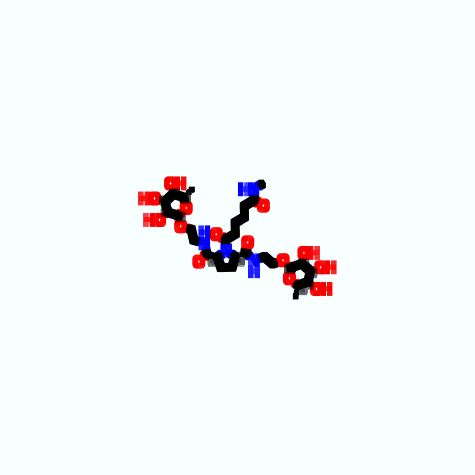 CNC(=O)CCCCC(=O)N1[C@H](C(=O)NCCO[C@@H]2O[C@@H](C)[C@@H](O)[C@@H](O)[C@@H]2O)CC[C@H]1C(=O)NCCO[C@@H]1O[C@@H](C)[C@@H](O)[C@@H](O)[C@@H]1O